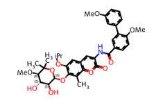 COc1cccc(-c2cc(C(=O)Nc3cc4cc(OC(C)C)c(O[C@@H]5OC(C)(C)[C@H](OC)[C@@H](O)[C@@H]5O)c(C)c4oc3=O)ccc2OC)c1